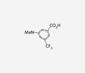 CNc1cc(C(=O)O)cc(C(F)(F)F)c1